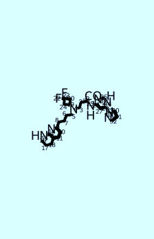 O=C(O)[C@H](CCN(CCCCc1ccc2c(n1)NCCC2)C1CC(F)(F)C1)Nc1cc(-n2cccn2)ncn1